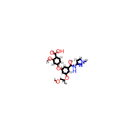 COC[C@H](C)Oc1cc(Oc2ccc(C(=O)O)c(OC)c2)cc(C(=O)Nc2ccn(C)n2)c1